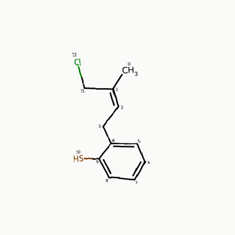 CC(=CCc1ccccc1S)CCl